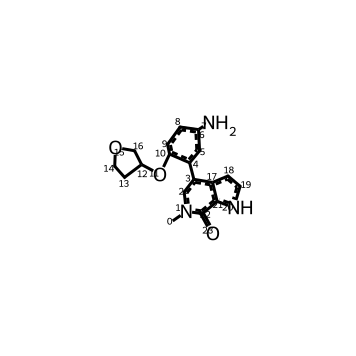 Cn1cc(-c2cc(N)ccc2OC2CCOC2)c2cc[nH]c2c1=O